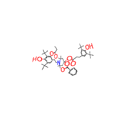 CCC(=O)OC(CN1C(C)(C)CC(OC(=O)CCc2cc(C(C)(C)C)c(O)c(C(C)(C)C)c2)(OC(=O)c2ccccc2)CC1(C)C)c1cc(C(C)(C)C)c(O)c(C(C)(C)C)c1